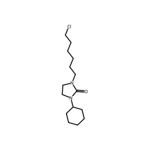 O=C1N(CCCCCCCl)CCN1C1CCCCC1